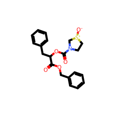 O=C(OCc1ccccc1)C(Cc1ccccc1)OC(=O)N1CC[S+]([O-])C1